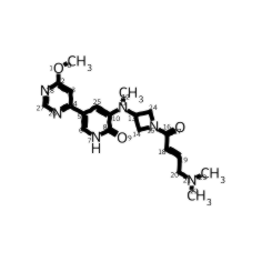 COc1cc(-c2c[nH]c(=O)c(N(C)C3CN(C(=O)C=CCN(C)C)C3)c2)ncn1